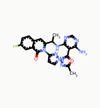 Cc1nnc(-c2c(N)ncnc2NC(C)c2cc3ccc(F)cc3c(=O)n2-c2cc[nH]n2)o1